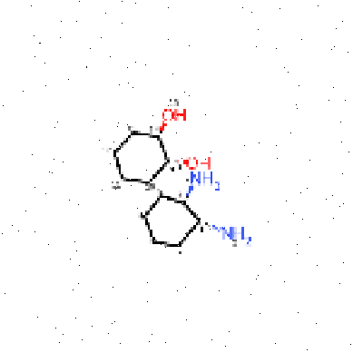 N[C@@H]1CCCC[C@H]1N.O[C@@H]1CCCC[C@H]1O